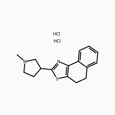 CN1CCC(c2nc3c(s2)CCc2ccccc2-3)C1.Cl.Cl